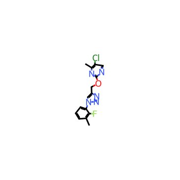 Cc1cccc(-n2cc(COc3ncc(Cl)c(C)n3)nn2)c1F